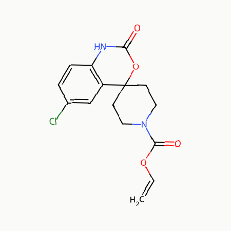 C=COC(=O)N1CCC2(CC1)OC(=O)Nc1ccc(Cl)cc12